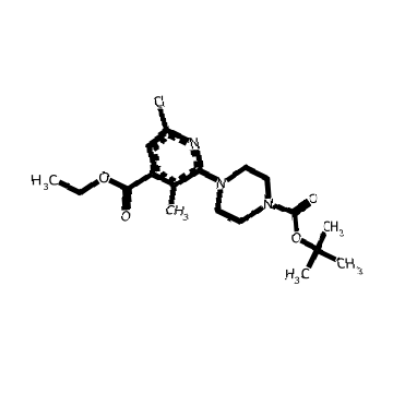 CCOC(=O)c1cc(Cl)nc(N2CCN(C(=O)OC(C)(C)C)CC2)c1C